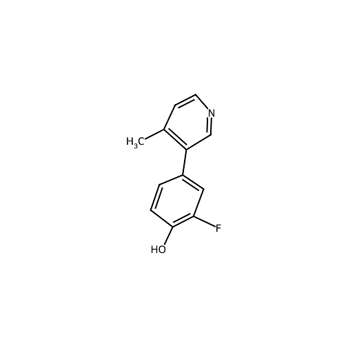 Cc1ccncc1-c1ccc(O)c(F)c1